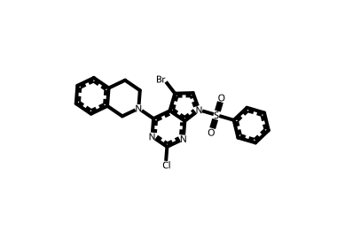 O=S(=O)(c1ccccc1)n1cc(Br)c2c(N3CCc4ccccc4C3)nc(Cl)nc21